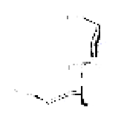 C/C=N\N/C(C)=C\C